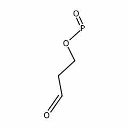 O=CCCOP=O